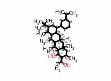 CC(C)C1CCCC(C2CC(C(C)(C)C)C(C)C3C(C)C4C(C)C5(C)C(O)C(C(C)O)C(C)CC5(C)CC4(C)CC23)C1